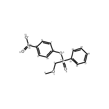 COCP(=O)(Oc1ccc([N+](=O)[O-])cc1)c1ccccc1